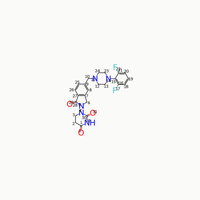 O=C1CCN(N2Cc3cc(CN4CCN(c5c(F)cccc5F)CC4)ccc3C2=O)C(=O)N1